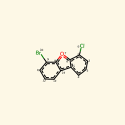 Clc1cccc2c1oc1c(Br)cccc12